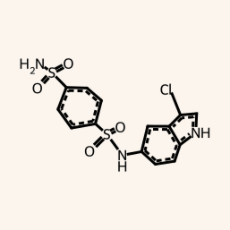 NS(=O)(=O)c1ccc(S(=O)(=O)Nc2ccc3[nH]cc(Cl)c3c2)cc1